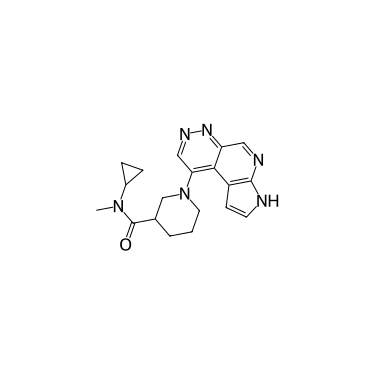 CN(C(=O)C1CCCN(c2cnnc3cnc4[nH]ccc4c23)C1)C1CC1